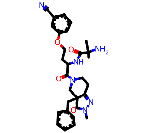 CN1N=C2CCN(C(=O)C(CCOc3cccc(C#N)c3)NC(=O)C(C)(C)N)CC2(Cc2ccccc2)C1=O